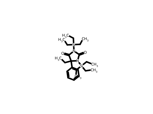 CCC1(c2ccccc2)C(=O)N([Si](CC)(CC)CC)C(=O)N1[Si](CC)(CC)CC